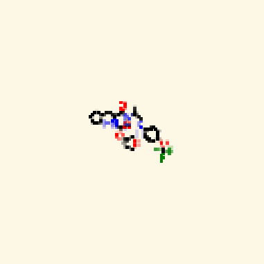 C[C@@H](CNc1ccc(OC(F)(F)F)cc1)NC(=O)[C@H](CC1CCCC1)NC(=O)O[C@H]1CCOC1